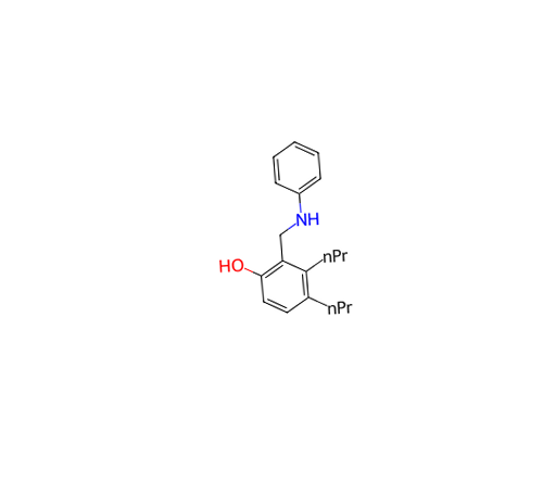 CCCc1ccc(O)c(CNc2ccccc2)c1CCC